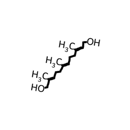 C/C(=C\CC/C(C)=C/CC/C(C)=C/CO)CO